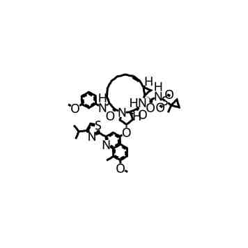 COc1cccc(N[C@H]2CCCCC/C=C\[C@@H]3C[C@@]3(C(=O)NS(=O)(=O)C3(C)CC3)NC(=O)[C@@H]3C[C@@H](Oc4cc(-c5nc(C(C)C)cs5)nc5c(C)c(OC)ccc45)CN3C2=O)c1